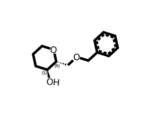 O[C@H]1CCCO[C@@H]1COCc1ccccc1